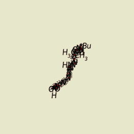 Cc1cc(-c2cc(Nc3ccc(N4CC5(CN(CC6CCN(c7ccc(N8CCC(=O)NC8=O)cc7)CC6)C5)C4)cn3)ncn2)ccc1[C@@H](C)NC(=O)c1nc(C(C)(C)C)no1